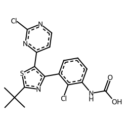 CC(C)(C)c1nc(-c2cccc(NC(=O)O)c2Cl)c(-c2ccnc(Cl)n2)s1